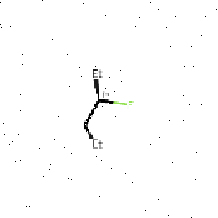 [CH2]C[C@@H](F)CCC